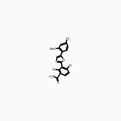 CCc1ccc(C(N)=O)c(CC)c1-c1ncc(-c2ccc(C(F)(F)F)cc2OC)o1